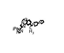 CC(C)n1ncnc1-c1cn2c(n1)-c1cc([C@@H](C)N3CCC(N4CCCC4)CC3)ccc1OCC2